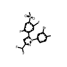 Cc1ccc(-n2nc(C(F)F)cc2-c2cc(F)c(S(C)(=O)=O)cc2F)cc1Br